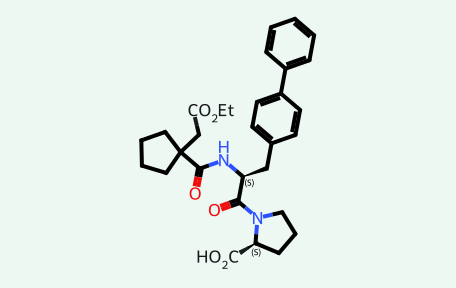 CCOC(=O)CC1(C(=O)N[C@@H](Cc2ccc(-c3ccccc3)cc2)C(=O)N2CCC[C@H]2C(=O)O)CCCC1